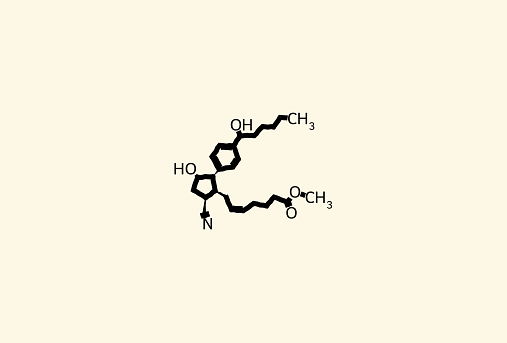 CCCCCC(O)c1ccc([C@@H]2[C@@H](C/C=C\CCCC(=O)OC)[C@@H](C#N)C[C@H]2O)cc1